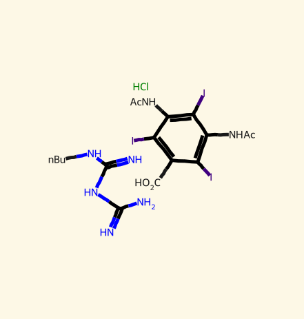 CC(=O)Nc1c(I)c(NC(C)=O)c(I)c(C(=O)O)c1I.CCCCNC(=N)NC(=N)N.Cl